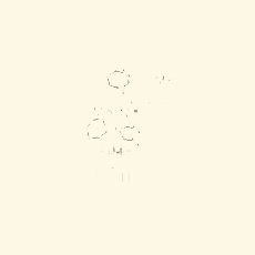 COc1cccc(OC)c1-n1c(NS(=O)(=O)C(C)C(OC)c2ncc(Cl)cn2)nnc1C1CC(C)(C)C1